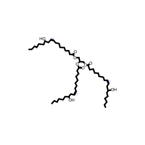 CCCCCCC(O)C/C=C\CCCCCCCC(=O)OCC(COC(=O)CCCCCCC/C=C\CC(O)CCCCCC)OC(=O)CCCCCCC/C=C\CC(O)CCCCCC